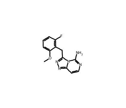 COc1cccc(F)c1Cc1nnc2ccnc(N)n12